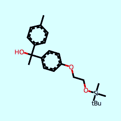 Cc1ccc(C(C)(O)c2ccc(OCCO[Si](C)(C)C(C)(C)C)cc2)cc1